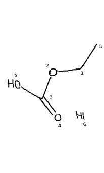 CCOC(=O)O.I